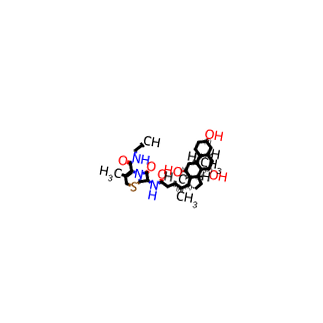 C#CCNC(=O)C1=C(C)CSC2C(NC(=O)CC[C@@H](C)[C@H]3CC[C@H]4C5[C@H](O)C[C@@H]6C[C@H](O)CC[C@]6(C)[C@H]5C[C@H](O)[C@]34C)C(=O)N12